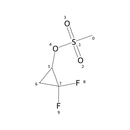 CS(=O)(=O)OC1CC1(F)F